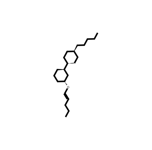 CCCC=CO[C@@H]1CCC[C@@H]([C@H]2CC[C@H](CCCCC)CC2)C1